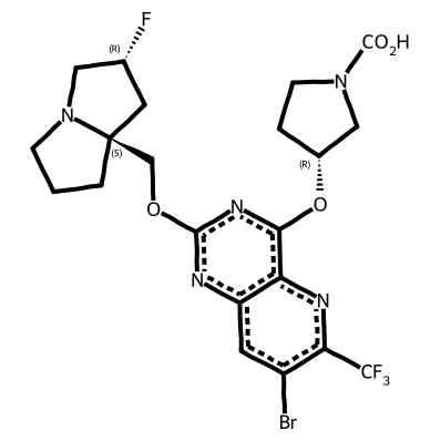 O=C(O)N1CC[C@@H](Oc2nc(OC[C@@]34CCCN3C[C@H](F)C4)nc3cc(Br)c(C(F)(F)F)nc23)C1